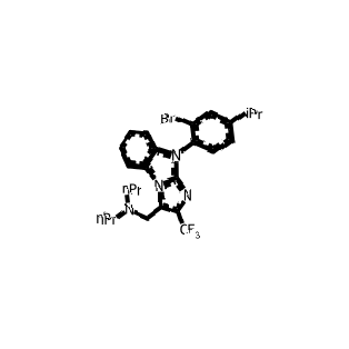 CCCN(CCC)Cc1c(C(F)(F)F)nc2n(-c3ccc(C(C)C)cc3Br)c3ccccc3n12